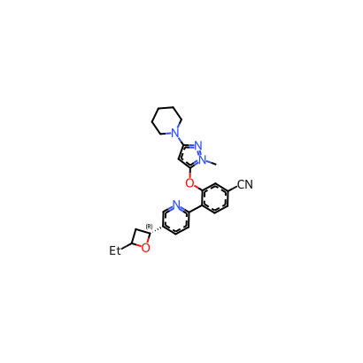 CCC1C[C@H](c2ccc(-c3ccc(C#N)cc3Oc3cc(N4CCCCC4)nn3C)nc2)O1